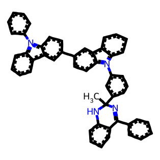 CC1(c2cccc(-n3c4ccccc4c4cc(-c5ccc6c(c5)c5ccccc5n6-c5ccccc5)ccc43)c2)N=C(c2ccccc2)c2ccccc2N1